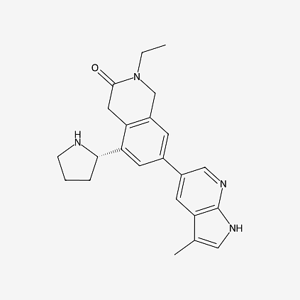 CCN1Cc2cc(-c3cnc4[nH]cc(C)c4c3)cc([C@@H]3CCCN3)c2CC1=O